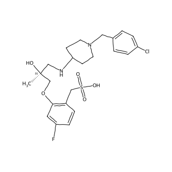 C[C@](O)(CNC1CCN(Cc2ccc(Cl)cc2)CC1)COc1cc(F)ccc1CS(=O)(=O)O